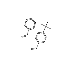 C=Cc1ccc(C(C)(C)C)cc1.C=Cc1ccccc1